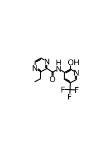 CCc1nccnc1C(=O)Nc1cc(C(F)(F)F)cnc1O